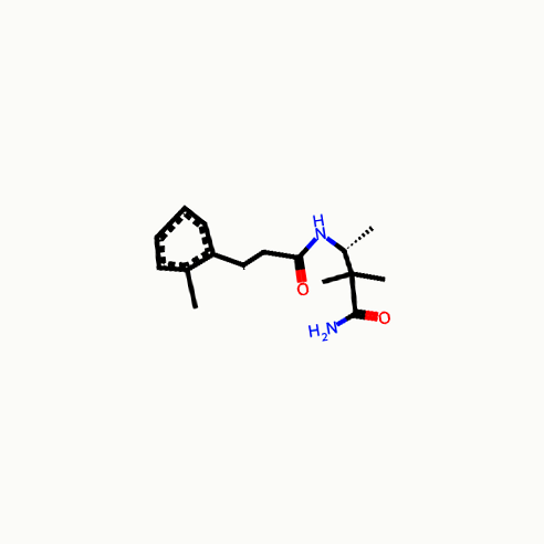 Cc1ccccc1[CH]CC(=O)N[C@H](C)C(C)(C)C(N)=O